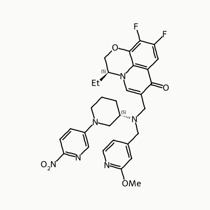 CC[C@H]1COc2c(F)c(F)cc3c(=O)c(CN(Cc4ccnc(OC)c4)[C@H]4CCCN(c5ccc([N+](=O)[O-])nc5)C4)cn1c23